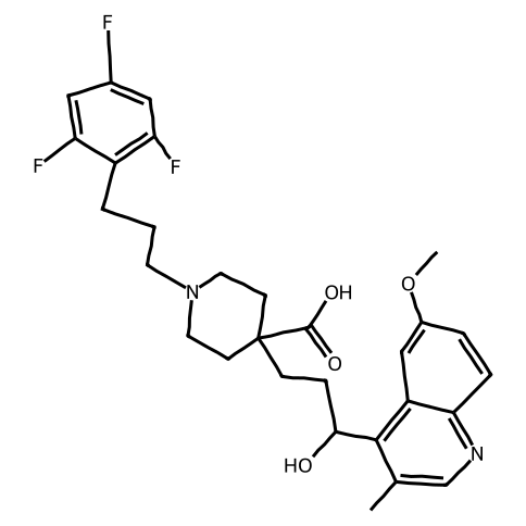 COc1ccc2ncc(C)c(C(O)CCC3(C(=O)O)CCN(CCCc4c(F)cc(F)cc4F)CC3)c2c1